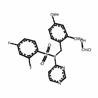 COc1ccc(CN(c2ccncn2)S(=O)(=O)c2ccc(F)cc2F)c(OC)c1.O=CO